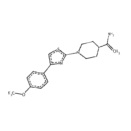 C=C(N)C1CCN(c2nc(-c3ccc(OC(F)(F)F)cc3)cs2)CC1